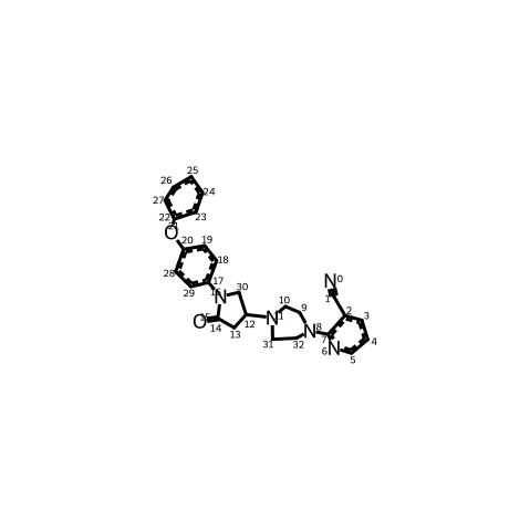 N#Cc1cccnc1N1CCN(C2CC(=O)N(c3ccc(Oc4ccccc4)cc3)C2)CC1